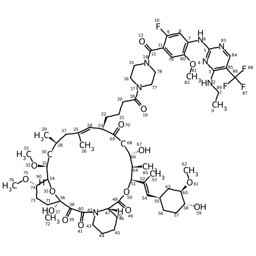 CCNc1nc(Nc2cc(F)c(C(=O)N3CCN(C(=O)CCC[C@@H]4/C=C(\C)C[C@H](C)C[C@H](OC)[C@H]5O[C@@](O)(C(=O)C(=O)N6CCCC[C@H]6C(=O)O[C@H](/C(C)=C/[C@@H]6CC[C@@H](O)[C@H](OC)C6)[C@H](C)[C@@H](O)CC4=O)[C@H](C)C[C@@H]5OC)CC3)cc2OC)ncc1C(F)(F)F